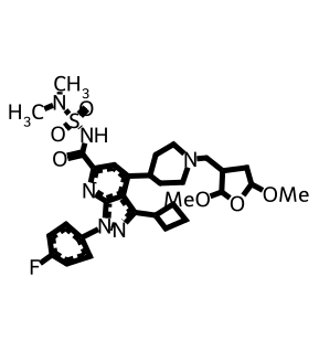 COC1CC(CN2CCC(c3cc(C(=O)NS(=O)(=O)N(C)C)nc4c3c(C3CCC3)nn4-c3ccc(F)cc3)CC2)C(OC)O1